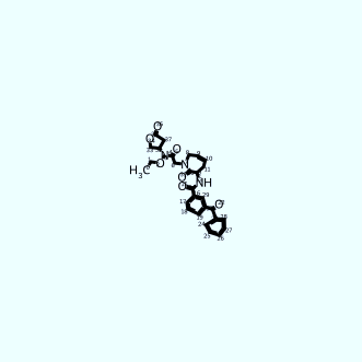 CCON(C(=O)CN1CC=CCC(NC(=O)c2cccc(C(=O)c3ccccc3)c2)C1=O)C1COC(=O)C1